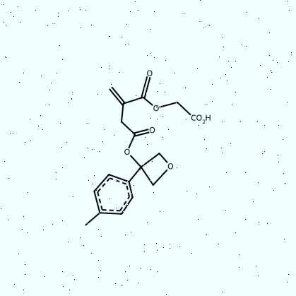 C=C(CC(=O)OC1(c2ccc(C)cc2)COC1)C(=O)OCC(=O)O